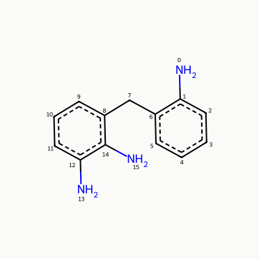 Nc1ccccc1Cc1cccc(N)c1N